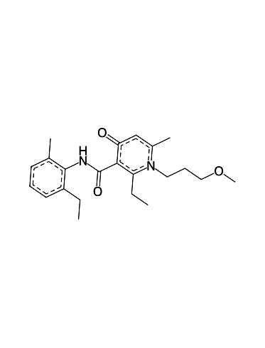 CCc1cccc(C)c1NC(=O)c1c(CC)n(CCCOC)c(C)cc1=O